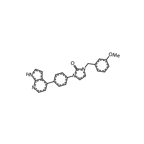 COc1cccc(Cn2ccn(-c3ccc(-c4ccnc5[nH]ccc45)cc3)c2=O)c1